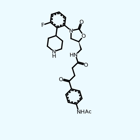 CC(=O)Nc1ccc(C(=O)CCC(=O)NC[C@H]2CN(c3cccc(F)c3C3CCNCC3)C(=O)O2)cc1